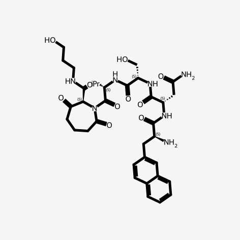 CC(C)[C@H](NC(=O)[C@H](CO)NC(=O)[C@H](CC(N)=O)NC(=O)[C@@H](N)Cc1ccc2ccccc2c1)C(=O)N1C(=O)CCCC(=O)[C@H]1C(=O)NCCCO